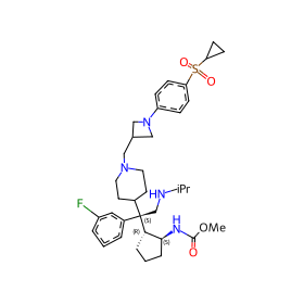 COC(=O)N[C@H]1CCC[C@@H]1[C@](CNC(C)C)(c1cccc(F)c1)C1CCN(CC2CN(c3ccc(S(=O)(=O)C4CC4)cc3)C2)CC1